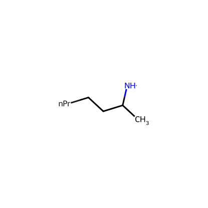 CCCCCC(C)[NH]